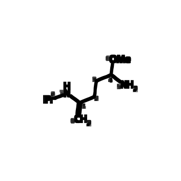 C=C(CCC(N)OC)NC(C)C